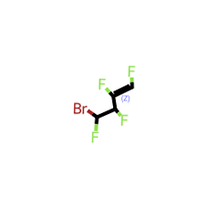 F/C=C(\F)C(F)C(F)Br